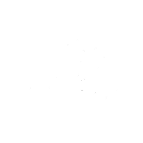 C=CC.CCCCCOC(C)(c1ccccc1)c1ccccc1